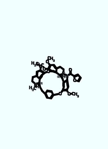 COc1cc2c3cc1Oc1ccc(cc1)CC[C@H]1c4cc(c(OC)cc4CCN1C)Oc1c(OC)c(OC)cc4c1[C@H](C3)N(CC4)N2C(=O)c1ccco1